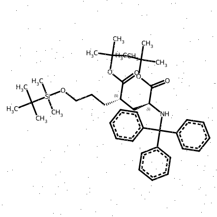 CC(C)(C)OC(=O)[C@@H](CCCO[Si](C)(C)C(C)(C)C)C[C@H](NC(c1ccccc1)(c1ccccc1)c1ccccc1)C(=O)OC(C)(C)C